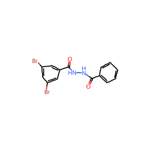 O=C(NNC(=O)c1cc(Br)cc(Br)c1)c1ccccc1